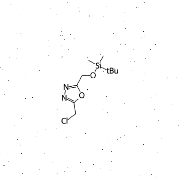 CC(C)(C)[Si](C)(C)OCc1nnc(CCl)o1